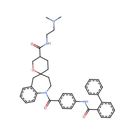 CN(C)CCNC(=O)C1CCC2(CCN(C(=O)c3ccc(NC(=O)c4ccccc4-c4ccccc4)cc3)c3ccccc3C2)OC1